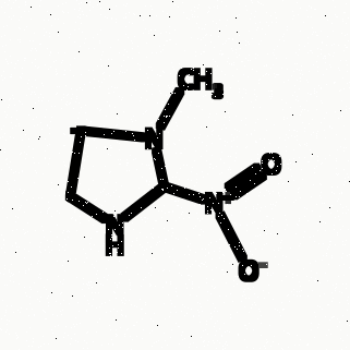 CN1[CH]CNC1[N+](=O)[O-]